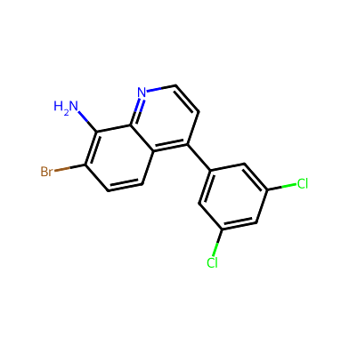 Nc1c(Br)ccc2c(-c3cc(Cl)cc(Cl)c3)ccnc12